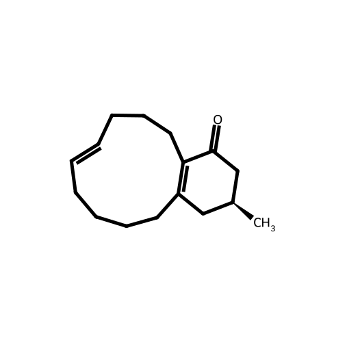 C[C@@H]1CC(=O)C2=C(CCCC/C=C/CCC2)C1